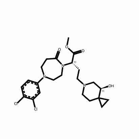 COC(=O)[C@H](CCN1CCC2(CC2)[C@H](O)C1)N1CCN(c2ccc(Cl)c(Cl)c2)CCC1=O